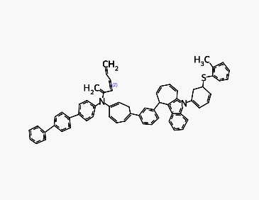 C=C/C=C\C(=C)N(C1=CCC(c2cccc(C3C=CC=Cc4c3c3ccccc3n4C3=CC=CC(Sc4ccccc4C)C3)c2)=CC=C1)c1ccc(-c2ccc(-c3ccccc3)cc2)cc1